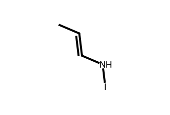 C/C=C/NI